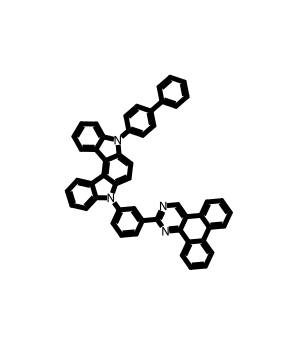 c1ccc(-c2ccc(-n3c4ccccc4c4c5c6ccccc6n(-c6cccc(-c7ncc8c9ccccc9c9ccccc9c8n7)c6)c5ccc43)cc2)cc1